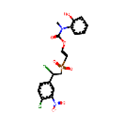 CN(C(=O)OC=CS(=O)(=O)CC(Cl)c1ccc(Cl)c([N+](=O)[O-])c1)c1ccccc1O